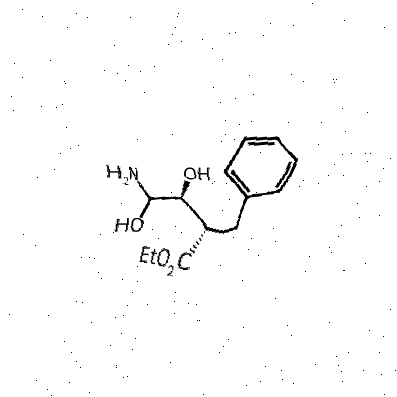 CCOC(=O)[C@@H](Cc1ccccc1)[C@H](O)C(N)O